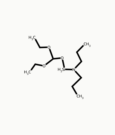 CCCN(CCC)[SiH2]OC(OCC)OCC